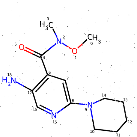 CON(C)C(=O)c1cc(N2CCCCC2)ncc1N